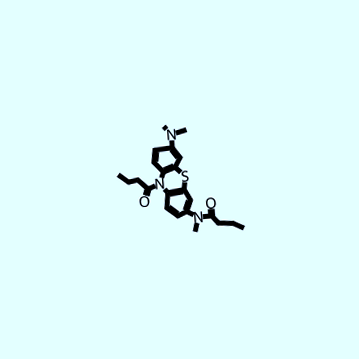 CCCC(=O)N(C)c1ccc2c(c1)Sc1cc(N(C)C)ccc1N2C(=O)CCC